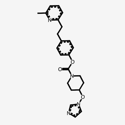 Cc1cccc(CCc2ccc(OC(=O)N3CCC(On4ccnc4)CC3)cc2)n1